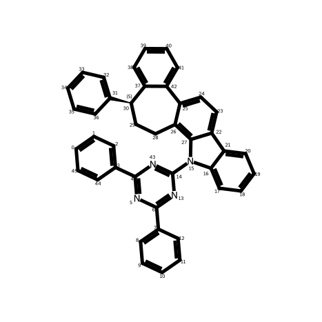 c1ccc(-c2nc(-c3ccccc3)nc(-n3c4ccccc4c4ccc5c(c43)CC[C@@H](c3ccccc3)c3ccccc3-5)n2)cc1